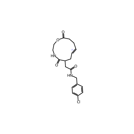 O=C(CC1C/C=C/CCC(=O)OCCNC1=O)NCc1ccc(Cl)cc1